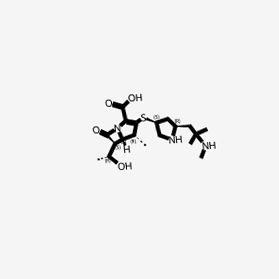 CNC(C)(C)C[C@@H]1C[C@H](SC2=C(C(=O)O)N3C(=O)[C@H]([C@@H](C)O)[C@H]3[C@H]2C)CN1